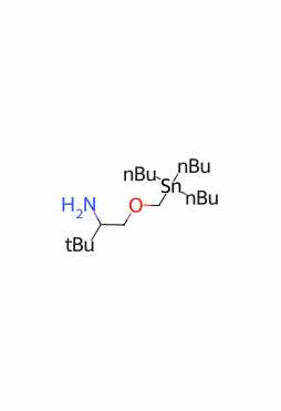 CCC[CH2][Sn]([CH2]CCC)([CH2]CCC)[CH2]OCC(N)C(C)(C)C